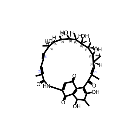 C/C1=C/C=C/[C@H](C)[C@H](O)[C@@H](C)[C@@H](O)[C@@H](C)[C@H](O)[C@H](C)[C@@H](O)[C@H](C)/C=C(/C)C(=O)C2=C(O)C(C)C(O)C3=C2C(=O)C=C(NC1=O)C3=O